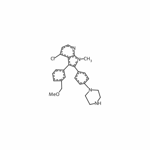 COCc1cccc(-c2c(-c3ccc(N4CCNCC4)cc3)n(C)c3nccc(Cl)c23)c1